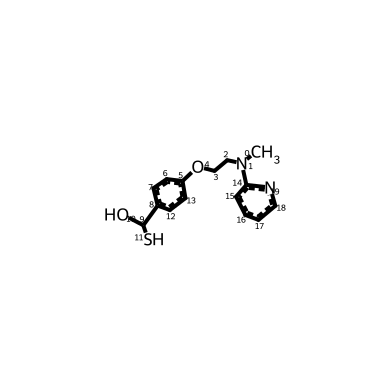 CN(CCOc1ccc(C(O)S)cc1)c1ccccn1